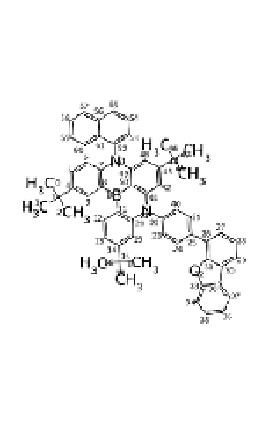 CC(C)(C)c1ccc2c(c1)B1c3ccc(C(C)(C)C)cc3N(c3ccc(-c4cccc5c4oc4ccccc45)cc3)c3cc(C(C)(C)C)cc(c31)N2c1cccc2ccccc12